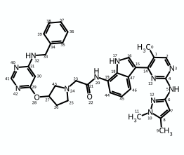 Cc1cnc(Nc2cc(C)n(C)n2)nc1-c1c[nH]c2c(NC(=O)CN3CCC(Oc4cc(NCc5ccccc5)ncn4)C3)cccc12